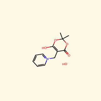 CC1(C)OC(=O)C(C[n+]2ccccc2)=C(O)O1.[OH-]